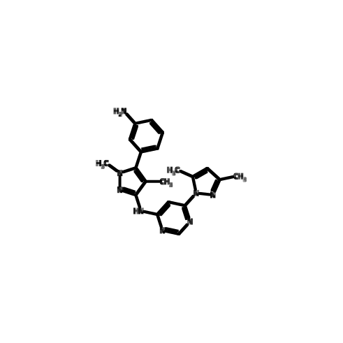 Cc1cc(C)n(-c2cc(Nc3nn(C)c(-c4cccc(N)c4)c3C)ncn2)n1